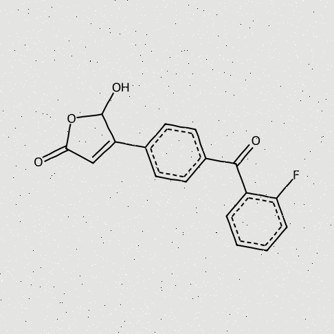 O=C1C=C(c2ccc(C(=O)c3ccccc3F)cc2)C(O)O1